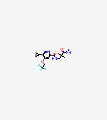 CNC(=O)C(C)(C)[C@H](C)NC(=O)c1cc(OCC(F)(F)F)c(C2CC2)cn1